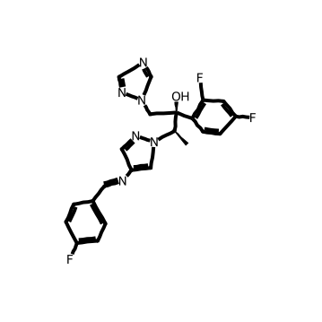 C[C@@H](n1cc(/N=C/c2ccc(F)cc2)cn1)[C@](O)(Cn1cncn1)c1ccc(F)cc1F